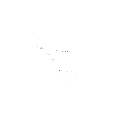 CNC(=O)c1c(-c2ccccc2)noc1CC(=O)c1ccc(C)cc1